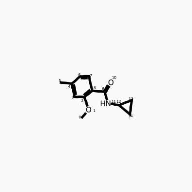 COc1cc(C)ccc1C(=O)NC1CC1